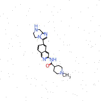 CN1CCC(C(=O)Nc2cc3cc(-c4cnc5n4CCNC5)ccc3cn2)CC1